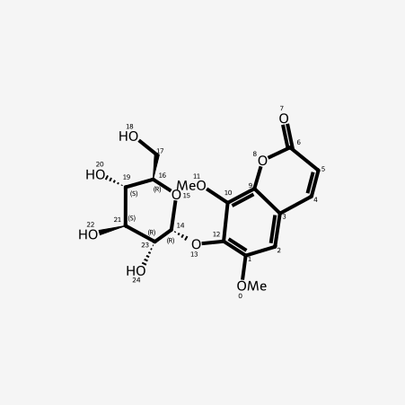 COc1cc2ccc(=O)oc2c(OC)c1O[C@H]1O[C@H](CO)[C@@H](O)[C@H](O)[C@H]1O